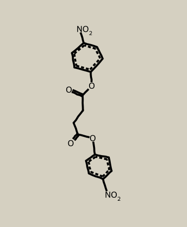 O=C(CCC(=O)Oc1ccc([N+](=O)[O-])cc1)Oc1ccc([N+](=O)[O-])cc1